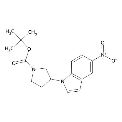 CC(C)(C)OC(=O)N1CCC(n2ccc3cc([N+](=O)[O-])ccc32)C1